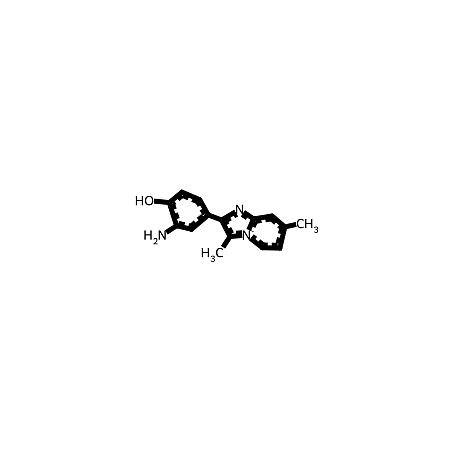 Cc1ccn2c(C)c(-c3ccc(O)c(N)c3)nc2c1